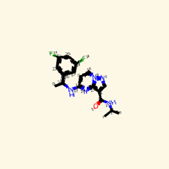 CC(C)NC(=O)c1cnn2ccc(NC(C)c3cc(F)cc(F)c3)nc12